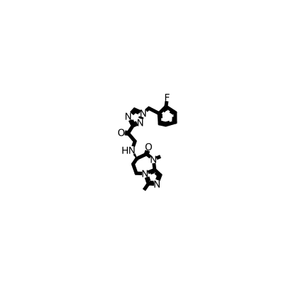 Cc1ncc2n1CC[C@@H](NCC(=O)c1ncn(Cc3ccccc3F)n1)C(=O)N2C